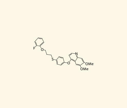 COc1cc2nccc(Oc3ccc(SCCCOc4ccccc4F)cc3)c2cc1OC